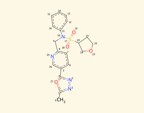 Cc1nnc(-c2ccc(CN(c3ccccc3)S(=O)(=O)C3CCOC3)nc2)o1